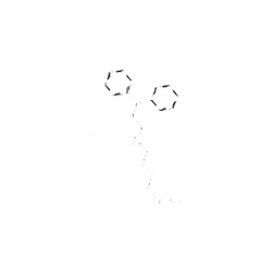 CCCCCCCCCCCCCCNCCC(c1ccccc1)c1ccccc1.O